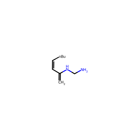 C=C(/C=C\CCCC)NCN